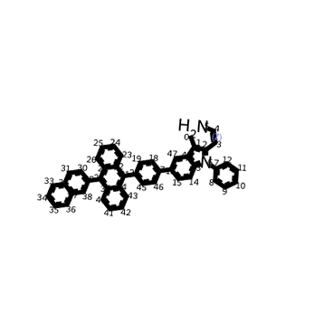 Cc1c(/C=C\N)n(-c2ccccc2)c2ccc(-c3ccc(-c4c5ccccc5c(-c5ccc6ccccc6c5)c5ccccc45)cc3)cc12